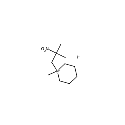 CC(C)(C[N+]1(C)CCCCC1)[N+](=O)[O-].[I-]